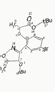 CCCCOC1C(c2cc(Br)ccc2OC(C)C(=O)OC(C)(C)C)=NOC1C